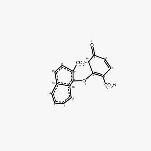 O=C1C=CC(C(=O)O)=C(Oc2c(C(=O)O)ccc3ccccc23)C1